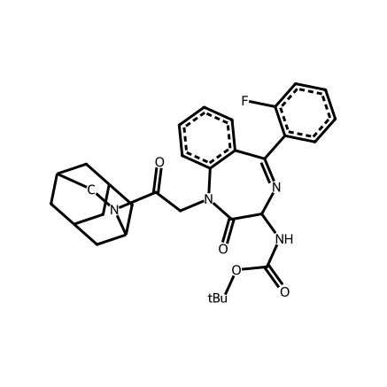 CC(C)(C)OC(=O)NC1N=C(c2ccccc2F)c2ccccc2N(CC(=O)N2CC3CC4CC(C3)CC2C4)C1=O